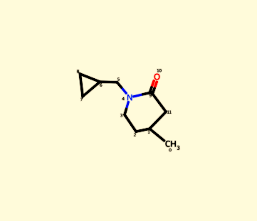 CC1CCN(CC2CC2)C(=O)C1